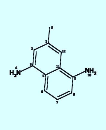 Cc1cc(N)c2cccc(N)c2c1